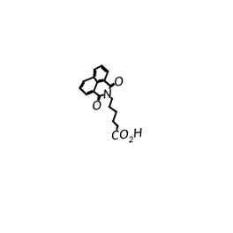 O=C(O)CCCCCN1C(=O)c2cccc3cccc(c23)C1=O